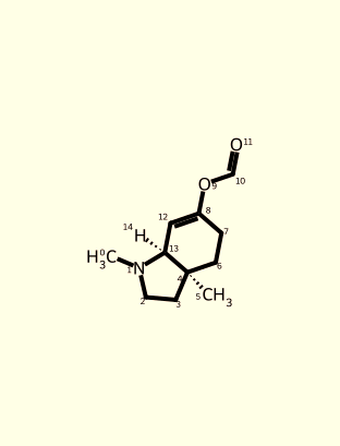 CN1CC[C@]2(C)CCC(OC=O)=C[C@H]12